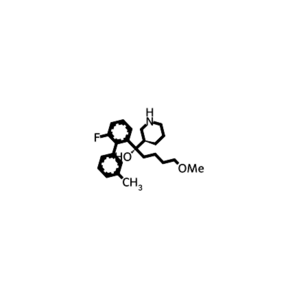 COCCCC[C@@](O)(c1cccc(F)c1-c1cccc(C)c1)[C@@H]1CCCNC1